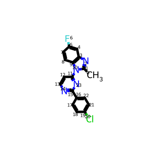 Cc1nc2cc(F)ccc2n1-c1ccnc(-c2ccc(Cl)cc2)n1